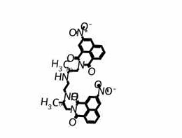 C[C@H](CN1C(=O)c2cccc3cc([N+](=O)[O-])cc(c23)C1=O)NCCN[C@@H](C)CN1C(=O)c2cccc3cc([N+](=O)[O-])cc(c23)C1=O